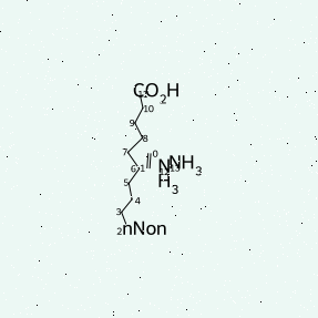 C=C.CCCCCCCCCCCCCCCCCC(=O)O.N.N